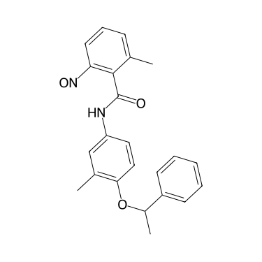 Cc1cc(NC(=O)c2c(C)cccc2N=O)ccc1OC(C)c1ccccc1